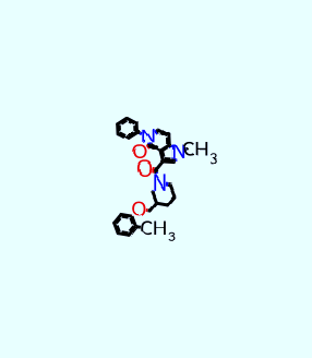 Cc1ccccc1OCC1CCCN(C(=O)c2cn(C)c3ccn(-c4ccccc4)c(=O)c23)C1